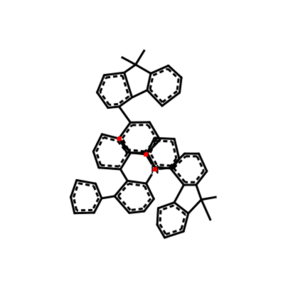 CC1(C)c2ccccc2-c2c(-c3ccc(N(c4cccc(-c5ccccc5)c4-c4ccccc4-c4ccccc4)c4cccc5c4-c4ccccc4C5(C)C)cc3)cccc21